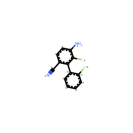 N#Cc1ccc(N)c(F)c1-c1ccccc1F